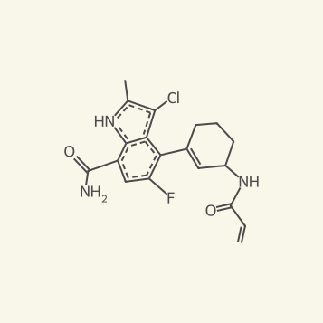 C=CC(=O)NC1C=C(c2c(F)cc(C(N)=O)c3[nH]c(C)c(Cl)c23)CCC1